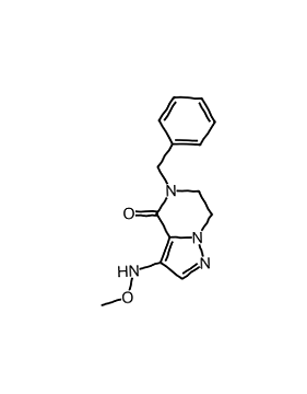 CONc1cnn2c1C(=O)N(Cc1ccccc1)CC2